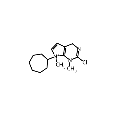 CN1C(Cl)=NCC2=C1[N+](C)(C1CCCCCC1)C=C2